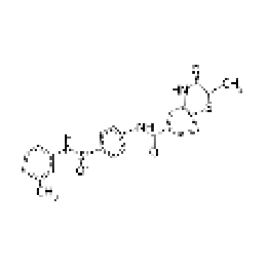 Cc1cccc(N[S+]([O-])c2ccc(NC(=O)c3ccc4c(c3)NC(=O)C(C)S4)cc2)c1